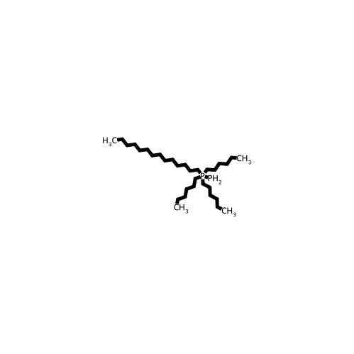 CCCCCCCCCCCCCCP(P)(CCCCCC)(CCCCCC)CCCCCC